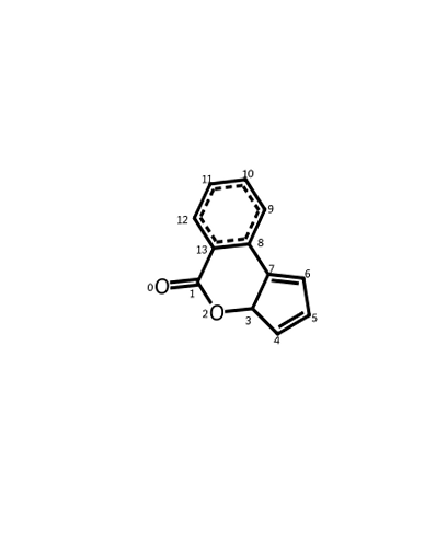 O=C1OC2C=CC=C2c2ccccc21